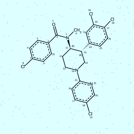 CN(C(=O)c1ccc(Cl)cc1)[C@@H]1CCN(c2ccc(Cl)cn2)C[C@H]1c1ccc(Cl)c(Cl)c1